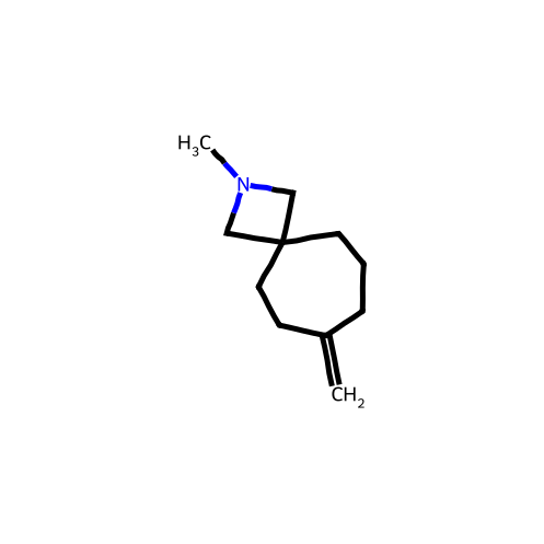 C=C1CCCC2(CC1)CN(C)C2